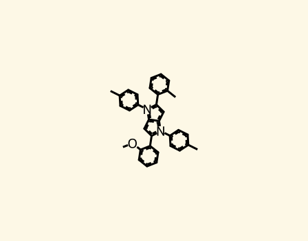 COc1ccccc1-c1cc2c(cc(-c3ccccc3C)n2-c2ccc(C)cc2)n1-c1ccc(C)cc1